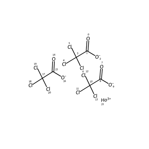 O=C([O-])C(Cl)(Cl)Cl.O=C([O-])C(Cl)(Cl)Cl.O=C([O-])C(Cl)(Cl)Cl.[Ho+3]